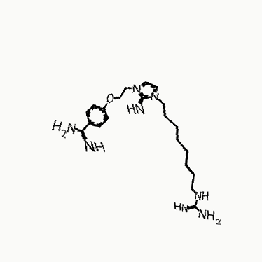 N=C(N)NCCCCCCCCn1ccn(CCOc2ccc(C(=N)N)cc2)c1=N